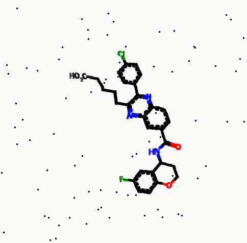 O=C(O)CCCCc1nc2cc(C(=O)NC3CCOc4ccc(F)cc43)ccc2nc1-c1ccc(Cl)cc1